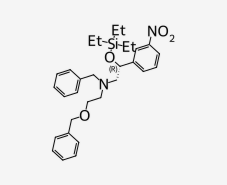 CC[Si](CC)(CC)O[C@@H](CN(CCOCc1ccccc1)Cc1ccccc1)c1cccc([N+](=O)[O-])c1